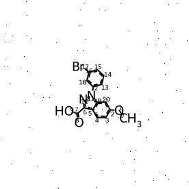 COc1ccc2c(C(=O)O)nn(-c3cccc(Br)c3)c2c1